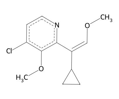 CO/C=C(\c1nccc(Cl)c1OC)C1CC1